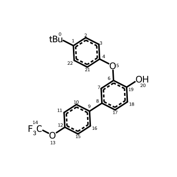 CC(C)(C)c1ccc(Oc2cc(-c3ccc(OC(F)(F)F)cc3)ccc2O)cc1